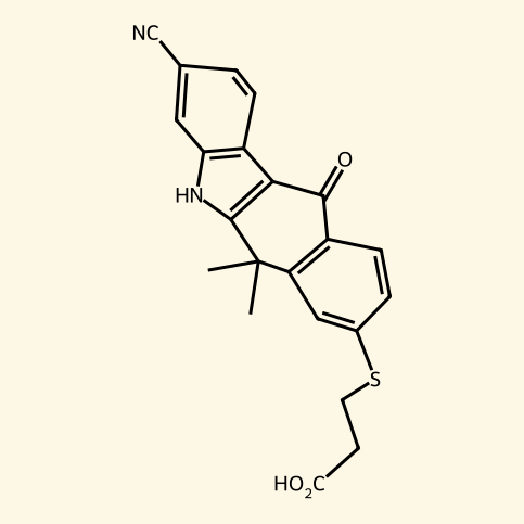 CC1(C)c2cc(SCCC(=O)O)ccc2C(=O)c2c1[nH]c1cc(C#N)ccc21